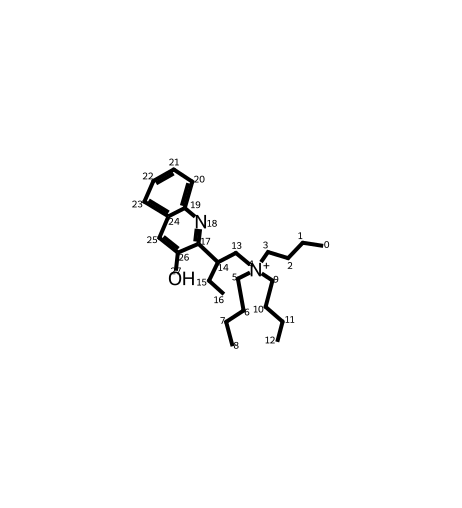 CCCC[N+](CCCC)(CCCC)CC(CC)c1nc2ccccc2cc1O